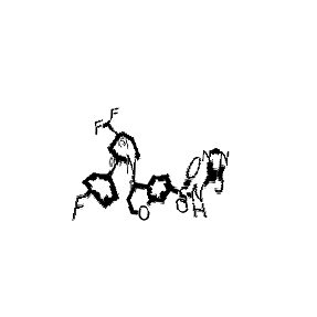 O=S(=O)(Nc1ncns1)c1ccc2c(c1)OCC[C@H]2N1CC[C@H](C(F)F)C[C@@H]1c1ccc(F)cc1